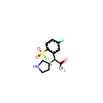 O=C(C(c1cc(F)ccc1S(=O)(=O)Cl)[C@H]1CCNC1)C(F)(F)F